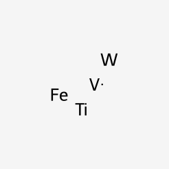 [Fe].[Ti].[V].[W]